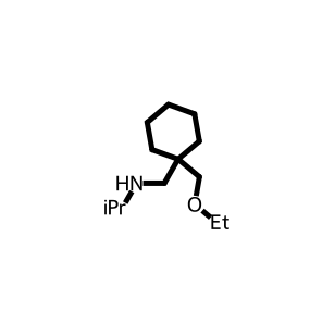 CCOCC1(CNC(C)C)CCCCC1